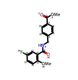 COC(=O)c1ccc(CNC(=O)c2cc(F)ccc2OC)cc1